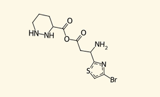 NC(CC(=O)OC(=O)C1CCCNN1)c1nc(Br)cs1